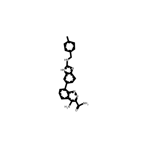 Cc1ccc(CNc2nc3ccc(-c4cccc5c(N)c(C(N)=O)nnc45)cc3[nH]2)cc1